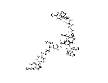 COc1cc(CC(C)C(=O)C(C)Cc2ccc(OCCCCN3CCC(c4noc5cc(Cl)ccc45)CC3)c(OC)c2)ccc1OCCCCN1CCC(c2noc3cc(Cl)ccc23)CC1.O=C(O)/C=C/C(=O)O